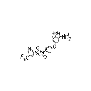 Nc1n[nH]c2ncc(Oc3ccc(N4C(=O)CN(c5cncc(C(F)(F)F)c5)C4=O)cc3)cc12